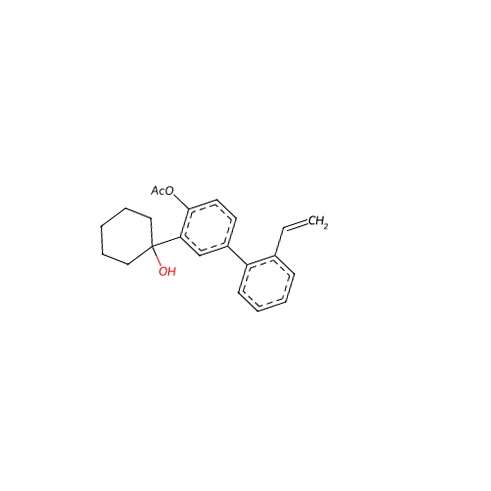 C=Cc1ccccc1-c1ccc(OC(C)=O)c(C2(O)CCCCC2)c1